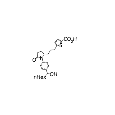 CCCCCCC(O)c1ccc(N2C(=O)CC[C@@H]2CCCc2ccc(C(=O)O)s2)cc1